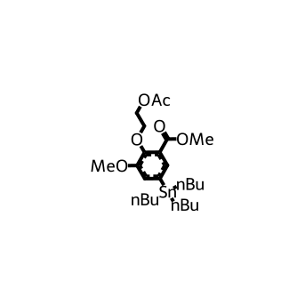 CCC[CH2][Sn]([CH2]CCC)([CH2]CCC)[c]1cc(OC)c(OCCOC(C)=O)c(C(=O)OC)c1